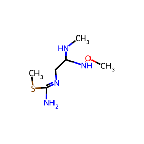 CNC(C/N=C(/N)SC)NOC